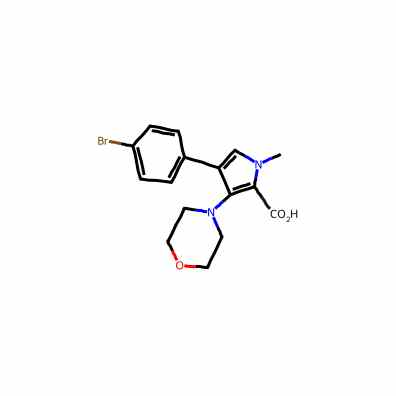 Cn1cc(-c2ccc(Br)cc2)c(N2CCOCC2)c1C(=O)O